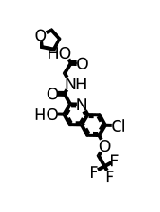 C1CCOC1.O=C(O)CNC(=O)c1nc2cc(Cl)c(OCC(F)(F)F)cc2cc1O